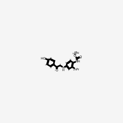 CCCc1cc(NCC(=O)c2ccc(O)cc2)ccc1NC(=O)OC(C)(C)C